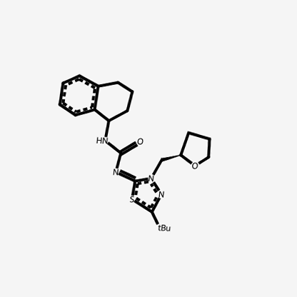 CC(C)(C)c1nn(C[C@H]2CCCO2)c(=NC(=O)NC2CCCc3ccccc32)s1